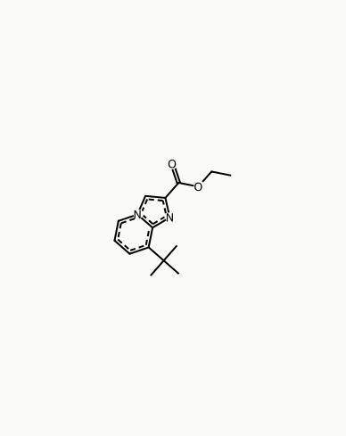 CCOC(=O)c1cn2cccc(C(C)(C)C)c2n1